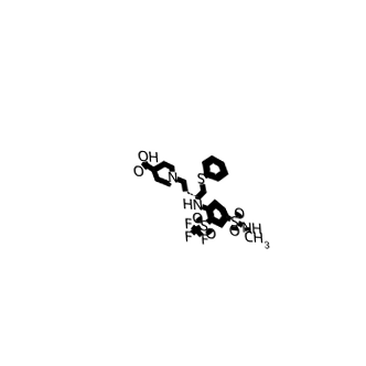 CNS(=O)(=O)c1ccc(N[C@H](CCN2CCC(C(=O)O)CC2)CSc2ccccc2)c(S(=O)(=O)C(F)(F)F)c1